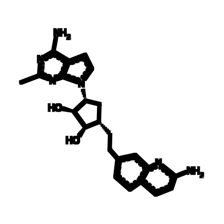 Cc1nc(N)c2ccn([C@@H]3C[C@H](CCc4ccc5ccc(N)nc5c4)[C@@H](O)[C@H]3O)c2n1